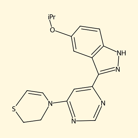 CC(C)Oc1ccc2[nH]nc(-c3cc(N4C=CSCC4)ncn3)c2c1